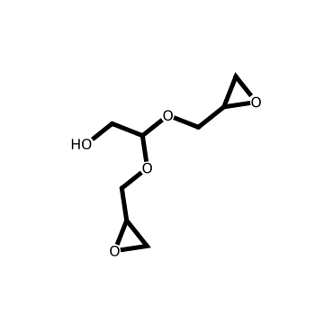 OCC(OCC1CO1)OCC1CO1